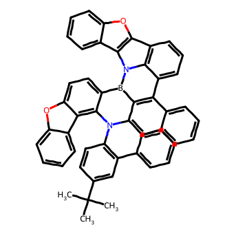 CC(C)(C)c1ccc(N2c3cc4ccccc4c4c3B(c3ccc5oc6ccccc6c5c32)n2c3c-4cccc3c3oc4ccccc4c32)c(-c2ccccc2)c1